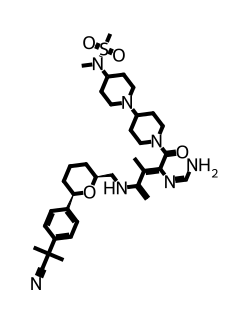 C=C(NC[C@@H]1CCC[C@H](c2ccc(C(C)(C)C#N)cc2)O1)/C(C)=C(\N=C/N)C(=O)N1CCC(N2CCC(N(C)S(C)(=O)=O)CC2)CC1